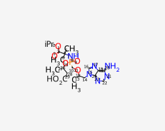 CC(C)OC(=O)C(C)(C)N[P@@](=O)(CO[C@H](C)Cn1cnc2c(N)ncnc21)O[C@@H](C)CC(=O)O